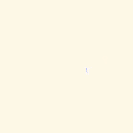 CCCCCCCCCCCCNCCC(C)=O